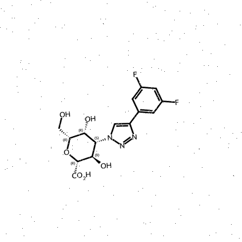 O=C(O)[C@@H]1O[C@H](CO)[C@H](O)[C@H](n2cc(-c3cc(F)cc(F)c3)nn2)[C@H]1O